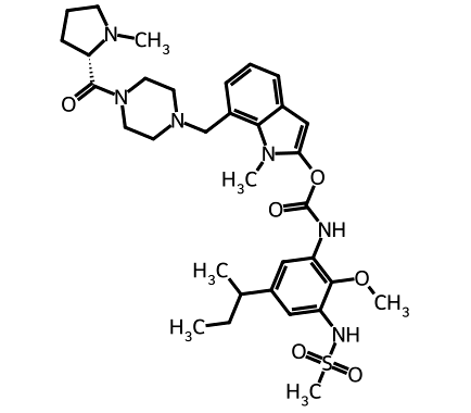 CCC(C)c1cc(NC(=O)Oc2cc3cccc(CN4CCN(C(=O)[C@@H]5CCCN5C)CC4)c3n2C)c(OC)c(NS(C)(=O)=O)c1